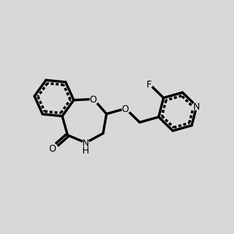 O=C1NCC(OCc2ccncc2F)Oc2ccccc21